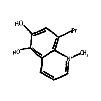 CC(C)c1cc(O)c(O)c2ccc[n+](C)c12